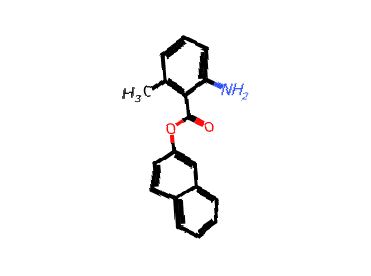 Cc1cccc(N)c1C(=O)Oc1ccc2ccccc2c1